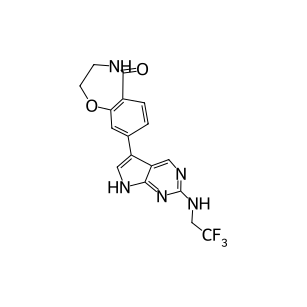 O=C1NCCOc2cc(-c3c[nH]c4nc(NCC(F)(F)F)ncc34)ccc21